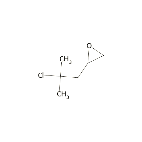 CC(C)(Cl)CC1CO1